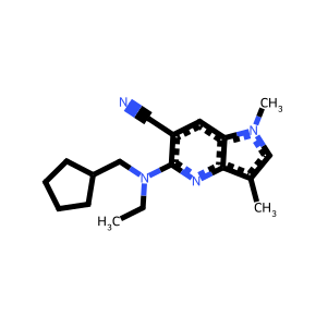 CCN(CC1CCCC1)c1nc2c(C)cn(C)c2cc1C#N